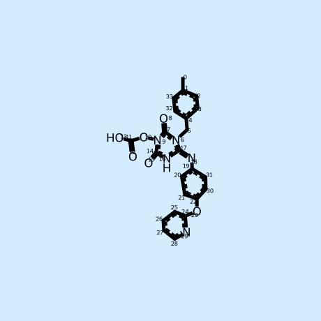 Cc1ccc(Cn2c(=O)n(OC(=O)O)c(=O)[nH]/c2=N\c2ccc(Oc3ccccn3)cc2)cc1